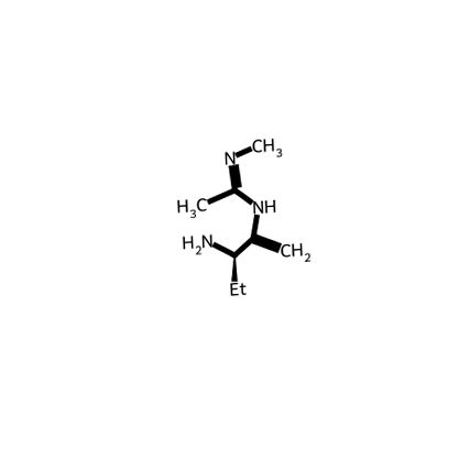 C=C(N/C(C)=N\C)[C@H](N)CC